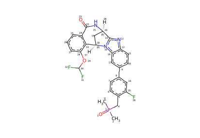 CP(C)(=O)Cc1ccc(-c2ccc3nc4n(c3c2)[C@@H]2C[C@H]4NC(=O)c3cccc(OC(F)F)c32)cc1F